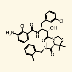 Cc1ccccc1CNC(=O)[C@H]1N(C(=O)[C@@H](O)[C@H](Cc2cccc(Cl)c2)NC(=O)c2cccc(N)c2Cl)CSC1(C)C